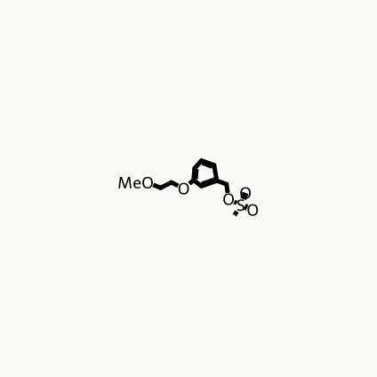 COCCOc1cccc(COS(C)(=O)=O)c1